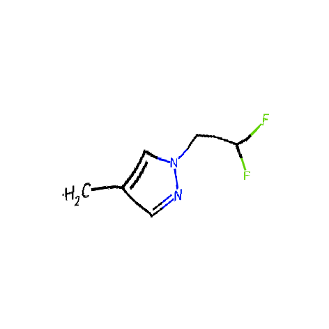 [CH2]c1cnn(CC(F)F)c1